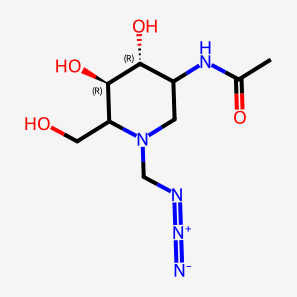 CC(=O)NC1CN(CN=[N+]=[N-])C(CO)[C@@H](O)[C@@H]1O